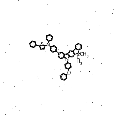 CC1(C)c2ccccc2-c2cc3c4cc(-c5ccc(N(c6ccccc6)c6ccc(-c7ccccc7)s6)cc5)ccc4n(-c4ccc(Oc5ccccc5)cc4)c3cc21